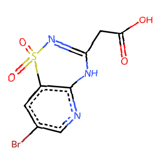 O=C(O)CC1=NS(=O)(=O)c2cc(Br)cnc2N1